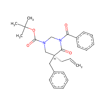 C=CC[C@]1(Cc2ccccc2)CN(C(=O)OC(C)(C)C)CN(C(=O)c2ccccc2)C1=O